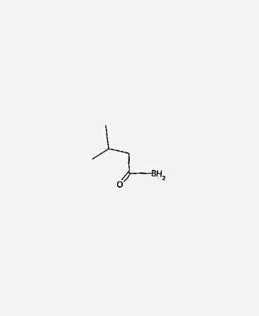 BC(=O)CC(C)C